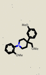 COCC1(c2cccc(OC)c2)CCN(c2ccccc2OC)CC1